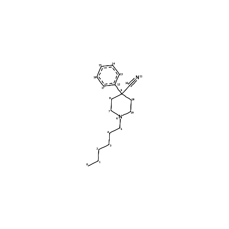 CCCCCCN1CCC(C#N)(c2ccccc2)CC1